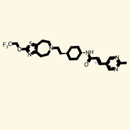 Cc1ncc(/C=C/C(=O)N[C@H]2CC[C@H](CCN3CCc4nc(OCC(F)(F)F)sc4CC3)CC2)cn1